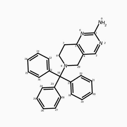 Nc1ncc2c(n1)CCN(C(c1ccccc1)(c1ccccc1)c1ccccc1)C2